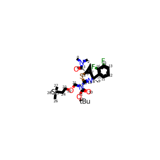 CN(C)C(=O)[C@]12CC1[C@@](C)(c1cccc(F)c1F)N=C(N(COCC[Si](C)(C)C)C(=O)OC(C)(C)C)S2